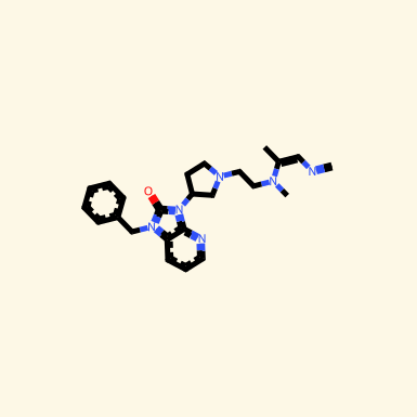 C=N/C=C(/C)N(C)CCN1CCC(n2c(=O)n(Cc3ccccc3)c3cccnc32)C1